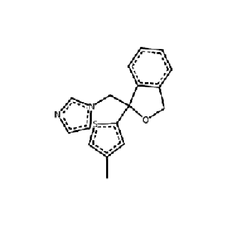 Cc1csc(C2(Cn3ccnc3)OCc3ccccc32)c1